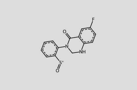 O=[S+]c1ccccc1N1CNc2ccc(F)cc2C1=O